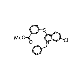 COC(=O)c1cccc(Sc2cn(Cc3ccccc3)c3cc(Cl)ccc23)c1